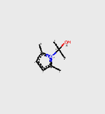 Cc1ccc(C)n1C(C)(C)O